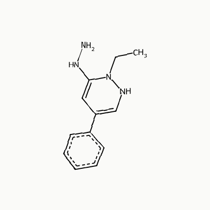 CCN1NC=C(c2ccccc2)C=C1NN